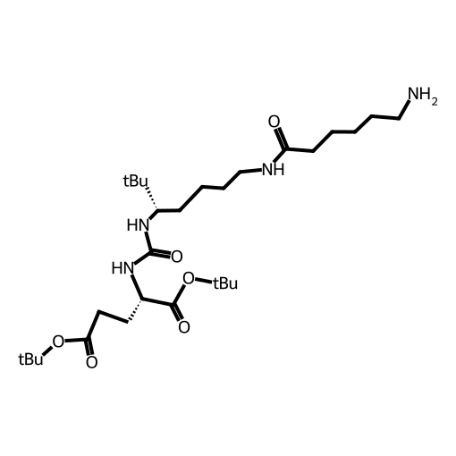 CC(C)(C)OC(=O)CC[C@H](NC(=O)N[C@@H](CCCCNC(=O)CCCCCN)C(C)(C)C)C(=O)OC(C)(C)C